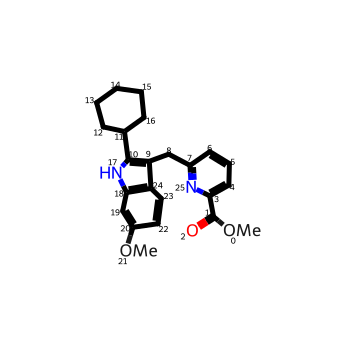 COC(=O)c1cccc(Cc2c(C3CCCCC3)[nH]c3cc(OC)ccc23)n1